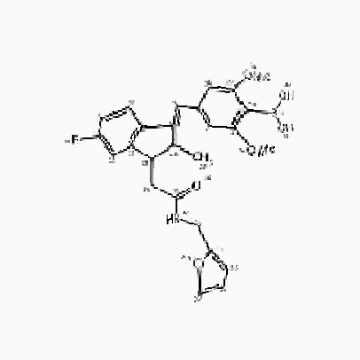 COc1cc(C=C2c3ccc(F)cc3C(CC(=O)NCc3ccco3)C2C)cc(OC)c1B(O)O